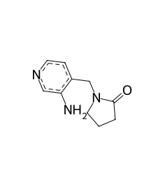 Nc1cnccc1CN1CCCC1=O